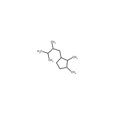 CC(C)N(C)CC1CCN(C)C1C